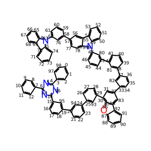 c1ccc(-c2nc(-c3ccccc3)nc(-c3cccc(-c4cccc(-c5cccc(-c6cc(-c7cccc(-c8cccc(-c9cccc(-n%10c%11ccccc%11c%11cc(-c%12cccc(-n%13c%14ccccc%14c%14ccccc%14%13)c%12)ccc%11%10)c9)c8)c7)cc7c6oc6ccccc67)c5)c4)c3)n2)cc1